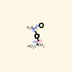 C[C@H](NC(=O)c1ccc(-c2nn(C)c(=NC3CCCCC3)s2)cc1)C(=O)O